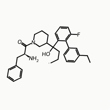 [CH2]CCC(O)(c1cccc(F)c1-c1cccc(CC)c1)C1CCCN(C(=O)[C@@H](N)Cc2ccccc2)C1